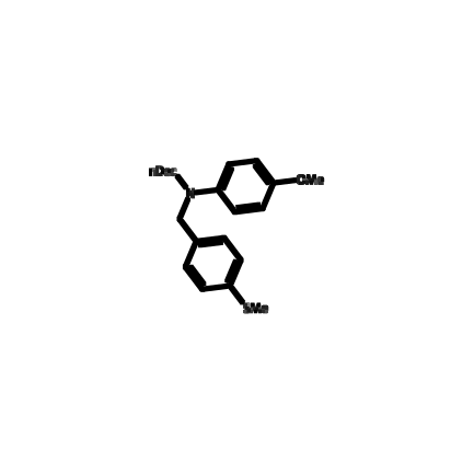 CCCCCCCCCCN(Cc1ccc(SC)cc1)c1ccc(OC)cc1